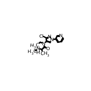 CCN(C(=O)C(C)NC)c1cn(-c2cccnc2)nc1Cl